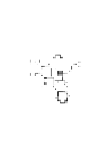 O=C(NCCCl)N(Cc1ccccc1)C1O[C@H](CO)[C@H](O)[C@H](O)[C@H]1O